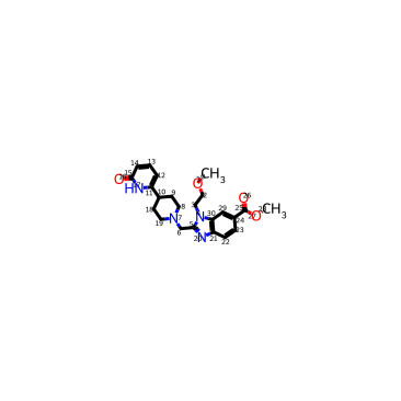 COCCn1c(CN2CCC(c3cccc(=O)[nH]3)CC2)nc2ccc(C(=O)OC)cc21